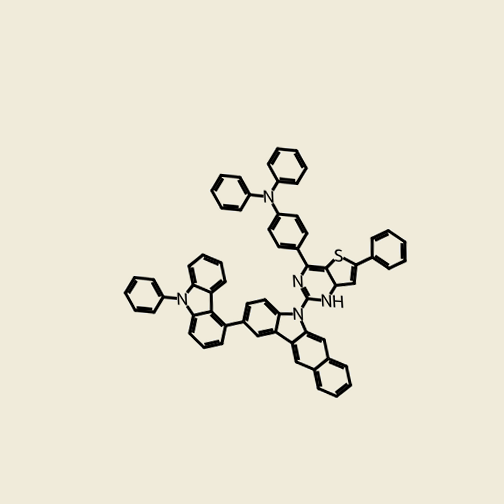 C1=C(c2ccccc2)SC2=C(c3ccc(N(c4ccccc4)c4ccccc4)cc3)N=C(n3c4ccc(-c5cccc6c5c5ccccc5n6-c5ccccc5)cc4c4cc5ccccc5cc43)NC12